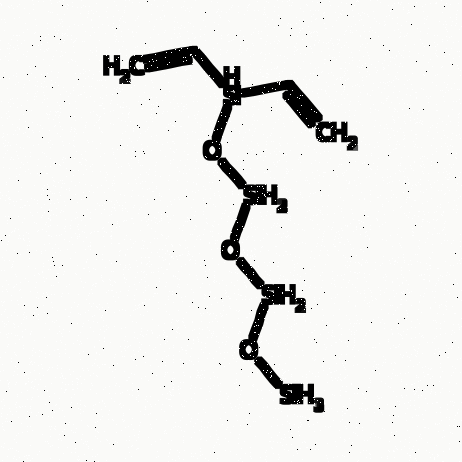 C=C[SiH](C=C)O[SiH2]O[SiH2]O[SiH3]